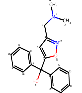 CN(C)Cc1cc(C(O)(c2ccccc2)c2ccccc2)on1